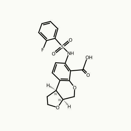 O=C(O)c1c(NS(=O)(=O)c2ccccc2F)ccc2c1OC[C@H]1OCC[C@@H]21